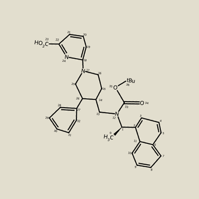 C[C@H](c1cccc2ccccc12)N(CC1CCN(c2cccc(C(=O)O)n2)CC1c1ccccc1)C(=O)OC(C)(C)C